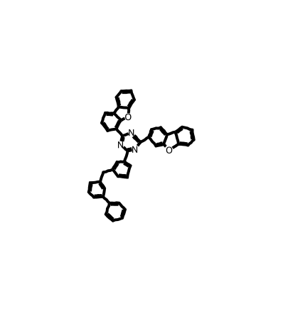 c1ccc(-c2cccc(Cc3cccc(-c4nc(-c5ccc6c(c5)oc5ccccc56)nc(-c5cccc6c5oc5ccccc56)n4)c3)c2)cc1